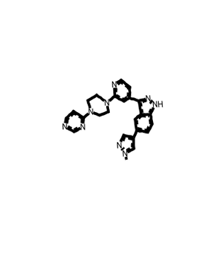 Cn1cc(-c2ccc3[nH]nc(-c4ccnc(N5CCN(c6ccncn6)CC5)c4)c3c2)cn1